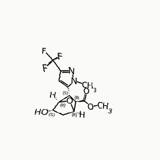 COC(=O)[C@@H]1[C@@H](c2cc(C(F)(F)F)nn2C)[C@H]2O[C@@H]1C[C@@H]2O